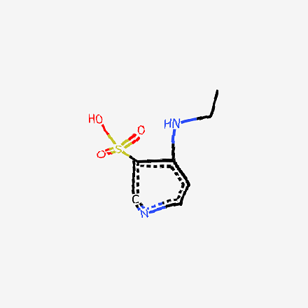 CCNc1ccncc1S(=O)(=O)O